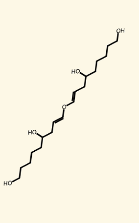 OCCCCCC(O)CC=COC=CCC(O)CCCCCO